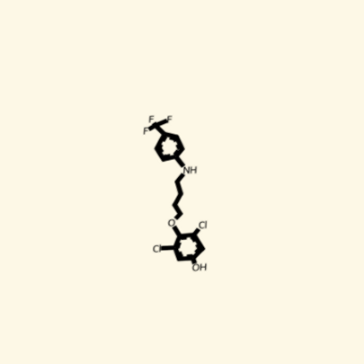 Oc1cc(Cl)c(OCCCCNc2ccc(C(F)(F)F)cc2)c(Cl)c1